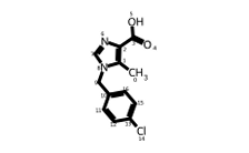 Cc1c(C(=O)O)ncn1Cc1ccc(Cl)cc1